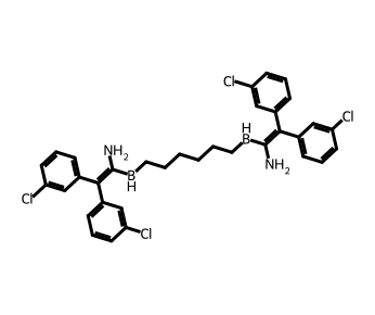 NC(BCCCCCCBC(N)=C(c1cccc(Cl)c1)c1cccc(Cl)c1)=C(c1cccc(Cl)c1)c1cccc(Cl)c1